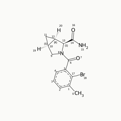 Cc1cccc(C(=O)N2C[C@H]3C[C@H]3[C@H]2C(N)=O)c1Br